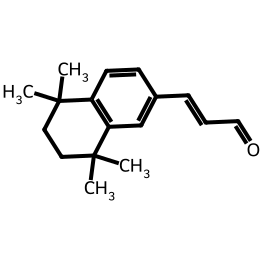 CC1(C)CCC(C)(C)c2cc(C=CC=O)ccc21